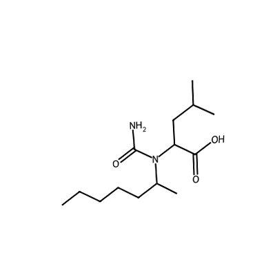 CCCCCC(C)N(C(N)=O)C(CC(C)C)C(=O)O